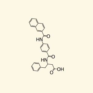 O=C(O)CC(Cc1ccccc1)NC(=O)c1ccc(NC(=O)c2ccc3ccccc3c2)cc1